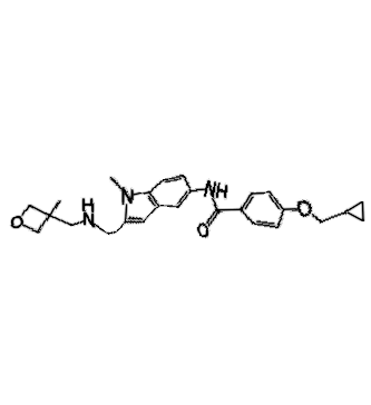 Cn1c(CNCC2(C)COC2)cc2cc(NC(=O)c3ccc(OCC4CC4)cc3)ccc21